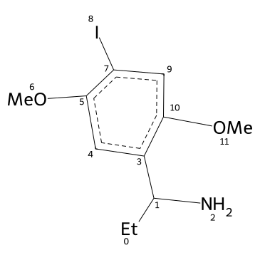 CCC(N)c1cc(OC)c(I)cc1OC